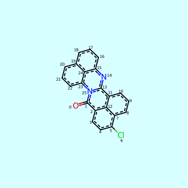 O=c1c2ccc(Cl)c3cccc(c32)c2nc3cccc4cccc(c43)n12